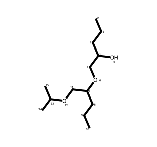 CCCC(O)COC(CCC)COC(C)C